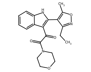 CCc1noc(C)c1-c1[nH]c2ccccc2c1C(=O)C(=O)N1CCOCC1